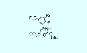 CCOC(=O)C[C@H](NC(=O)OC(C)(C)C)c1cc(C(F)(F)F)cc(Br)c1F